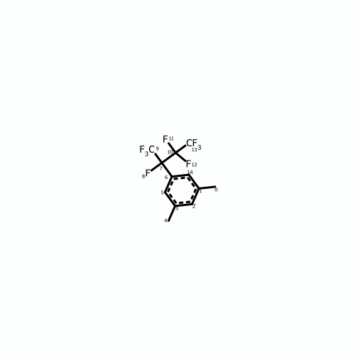 Cc1[c]c(C)cc(C(F)(C(F)(F)F)C(F)(F)C(F)(F)F)c1